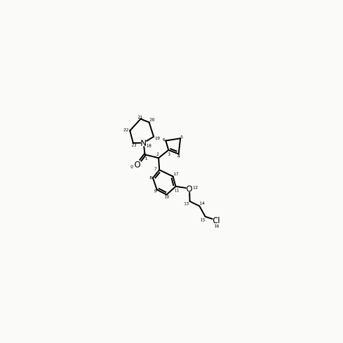 O=C(C(C1=CCC1)c1cccc(OCCCCl)c1)N1CCCCC1